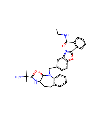 CCNC(=O)c1ccccc1-c1nc2cc(CN3C(=O)C(NC(=O)C(C)(C)N)CCc4ccccc43)ccc2o1